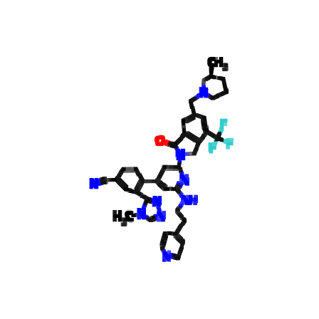 C[C@H]1CCCN(Cc2cc3c(c(C(F)(F)F)c2)CN(c2cc(-c4ccc(C#N)cc4-c4nncn4C)cc(NCCc4ccncc4)n2)C3=O)C1